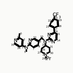 Cc1cc(N(C)c2ccc(CN(c3nccc(-c4ccc(C(F)(F)F)cc4)n3)C3CCN(C(C)C)CC3)cn2)ccn1